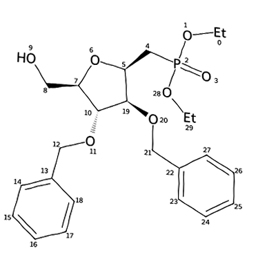 CCOP(=O)(C[C@@H]1O[C@H](CO)[C@@H](OCc2ccccc2)[C@@H]1OCc1ccccc1)OCC